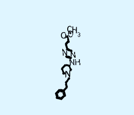 COC(=O)/C=C/c1cnc(N[C@@H]2CCCN(CCCc3ccccc3)C2)cn1